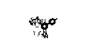 Cc1ccc(-c2cc(C(=O)NC(C)c3nccs3)cc(-n3nnnc3C(F)(F)F)c2)cc1